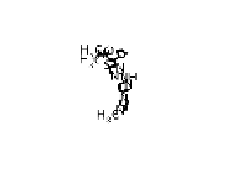 CN(C)C(=O)c1sc2cnc(Nc3ccc(N4CC5CN(C)C5C4)cn3)nc2c1C1CCCC1